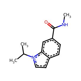 CNC(=O)c1ccc2ccn(C(C)C)c2c1